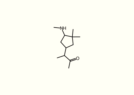 CNC1CC(C(C)C(C)=O)CC1(C)C